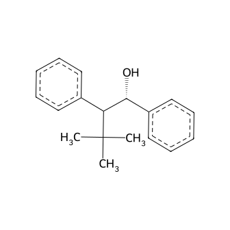 CC(C)(C)C(c1ccccc1)[C@H](O)c1ccccc1